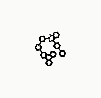 c1ccc(-c2ccc(-c3nc(-c4cccc(-c5cccc(-c6ccc7c8ccccc8c8ccccc8c7c6)c5)c4)nc4ccccc34)cc2)cc1